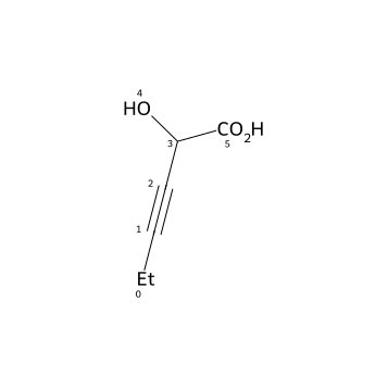 CCC#CC(O)C(=O)O